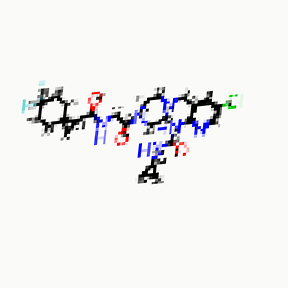 O=C(Nc1ncc(Cl)cc1CN1CCN(C(=O)CNC(=O)C2CC23CCC(F)(F)CC3)CC1)NC1CC1